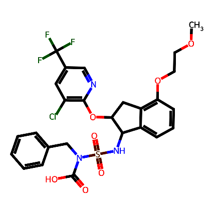 COCCOc1cccc2c1CC(Oc1ncc(C(F)(F)F)cc1Cl)C2NS(=O)(=O)N(Cc1ccccc1)C(=O)O